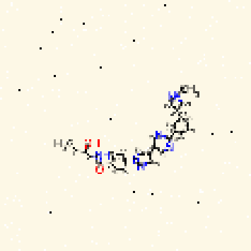 CCC(O)CNC(=O)[C@H]1CC[C@H](n2cc(-c3cnc(-c4cccc(-c5cnn(C)c5)c4)nc3)cn2)CC1